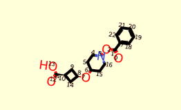 O=C(ON1CCC(O[C@H]2C[C@H](C(=O)O)C2)CC1)c1ccccc1